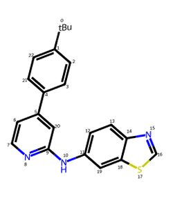 CC(C)(C)c1ccc(-c2ccnc(Nc3ccc4ncsc4c3)c2)cc1